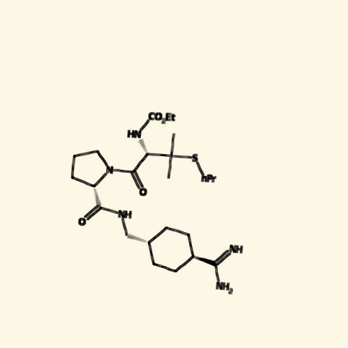 CCCSC(C)(C)[C@@H](NC(=O)OCC)C(=O)N1CCC[C@H]1C(=O)NC[C@H]1CC[C@H](C(=N)N)CC1